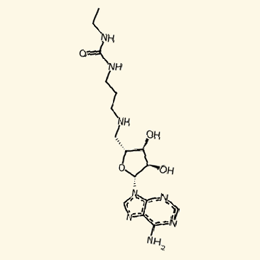 CCNC(=O)NCCCNC[C@H]1O[C@@H](n2cnc3c(N)ncnc32)[C@H](O)[C@@H]1O